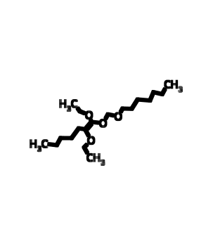 CCCCCCCOCOC(OCC)=C(CCCCC)OCC